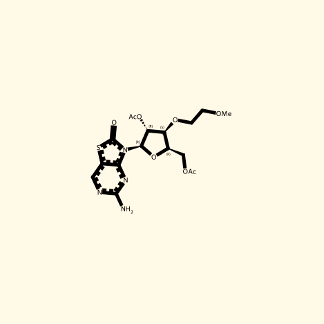 COCCO[C@@H]1[C@@H](OC(C)=O)[C@H](n2c(=O)sc3cnc(N)nc32)O[C@@H]1COC(C)=O